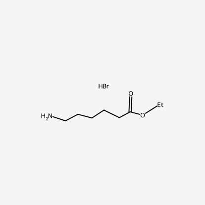 Br.CCOC(=O)CCCCCN